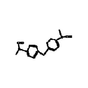 CN(C=O)C1=CC=C(Cc2ccc(N(C)C=O)cc2)CC1